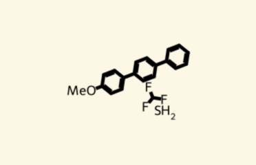 COc1ccc(-c2ccc(-c3ccccc3)cc2)cc1.FC(F)F.S